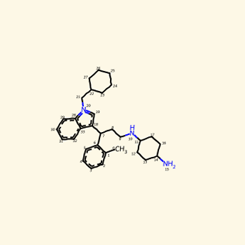 Cc1ccccc1C(CCNC1CCC(N)CC1)c1cn(CC2CCCCC2)c2ccccc12